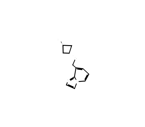 O[C@H]1C[C@H](NCc2cccn3ccnc23)C1